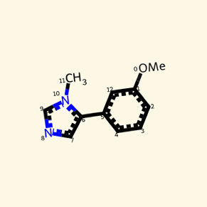 COc1cccc(-c2cncn2C)c1